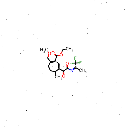 CCOC(=O)C1=C(COC)CCC(C)C(C(=O)C(=O)/N=C(/C)C(F)(F)F)=C1